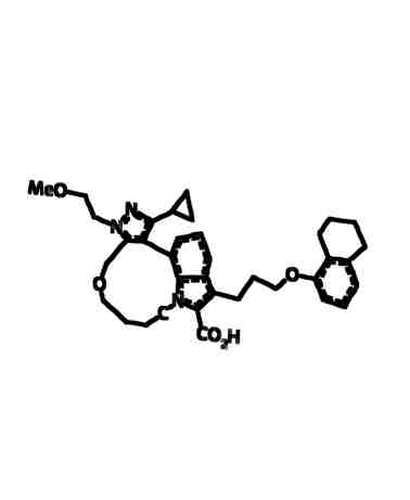 COCCn1nc(C2CC2)c2c1COCCCCn1c(C(=O)O)c(CCCOc3cccc4c3CCCC4)c3cccc-2c31